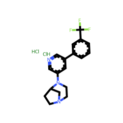 Cl.Cl.FC(F)(F)c1cccc(-c2cncc(N3CCN4CCC3C4)c2)c1